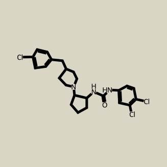 O=C(Nc1ccc(Cl)c(Cl)c1)NC1CCCC1N1CCC(Cc2ccc(Cl)cc2)CC1